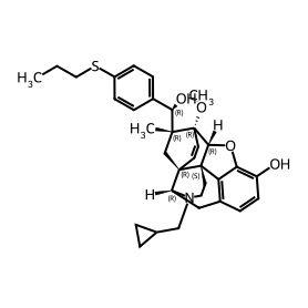 CCCSc1ccc([C@@H](O)[C@@]2(C)C[C@@]34C=C[C@]2(OC)[C@@H]2Oc5c(O)ccc6c5[C@@]23CCN(CC2CC2)[C@@H]4C6)cc1